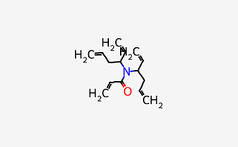 C=CCC(C=C)N(C(=O)C=C)C(C=C)CC=C